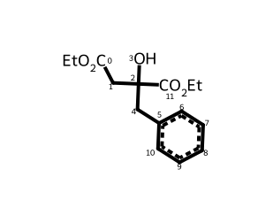 CCOC(=O)CC(O)(Cc1ccccc1)C(=O)OCC